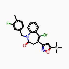 Cc1ccc(CN2C(=O)CC(c3cc([Si](C)(C)C)on3)=C(Br)c3ccccc32)cc1F